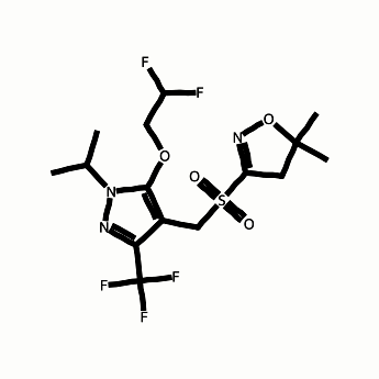 CC(C)n1nc(C(F)(F)F)c(CS(=O)(=O)C2=NOC(C)(C)C2)c1OCC(F)F